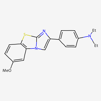 CCN(CC)c1ccc(-c2cn3c(n2)sc2ccc(OC)cc23)cc1